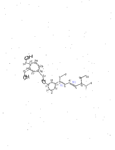 CC/C(=C\C=C\C(CC)CC)c1cccc(OCc2ccc(CO)c(CO)c2)c1